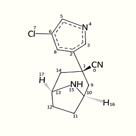 N#C[C@@]1(c2cncc(Cl)c2)C[C@H]2CC[C@@H](C1)N2